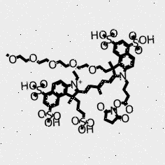 CC[N+]1=C(/C=C/C(C)=C/C=C2/N(CCCC(=O)ON3C(=O)CCC3=O)c3ccc4c(S(=O)(=O)O)cc(S(=O)(=O)O)cc4c3C2(C)CCOCCOCCOCCOCCOC)C(C)(CCCS(=O)(=O)O)c2c1ccc1c(S(=O)(=O)O)cc(S(=O)(=O)O)cc21